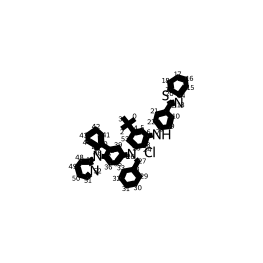 CC(C)(C)c1cc(Nc2ccc(-c3nc4ccccc4s3)cc2)c(Cl)c(N(Cc2ccccc2)c2ccc3c(c2)c2ccccc2n3-c2ccccn2)c1